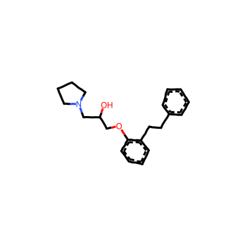 OC(COc1ccccc1CCc1ccccc1)CN1CCCC1